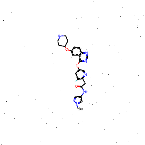 CC(C)(C)n1cc(NC(=O)Cc2ncc(Oc3ncnc4ccc(OC5CCNCC5)cc34)cc2F)cn1